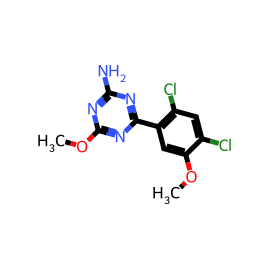 COc1nc(N)nc(-c2cc(OC)c(Cl)cc2Cl)n1